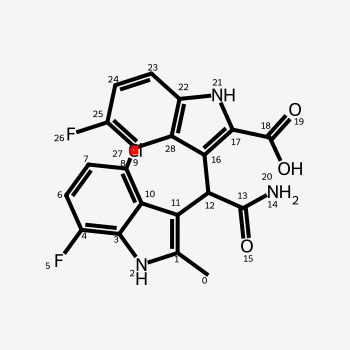 Cc1[nH]c2c(F)ccc(Cl)c2c1C(C(N)=O)c1c(C(=O)O)[nH]c2ccc(F)cc12